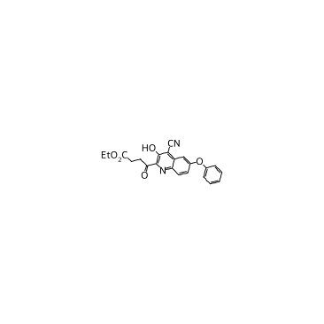 CCOC(=O)CCC(=O)c1nc2ccc(Oc3ccccc3)cc2c(C#N)c1O